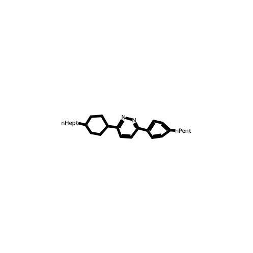 CCCCCCCC1CCC(c2ccc(-c3ccc(CCCCC)cc3)nn2)CC1